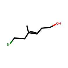 C/C(=C\CCO)CCBr